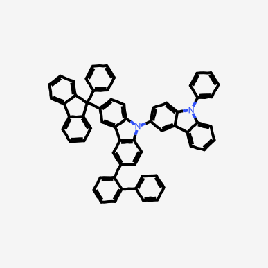 c1ccc(-c2ccccc2-c2ccc3c(c2)c2cc(C4(c5ccccc5)c5ccccc5-c5ccccc54)ccc2n3-c2ccc3c(c2)c2ccccc2n3-c2ccccc2)cc1